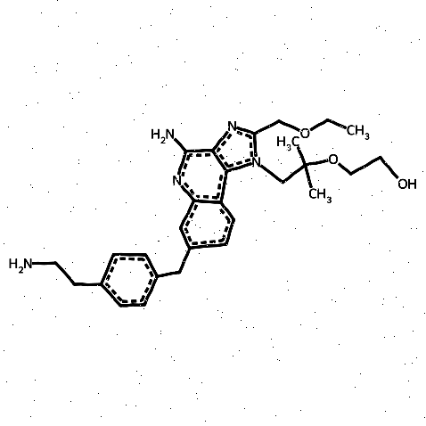 CCOCc1nc2c(N)nc3cc(Cc4ccc(CCN)cc4)ccc3c2n1CC(C)(C)OCCO